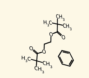 CC(C)(C)C(=O)OCCOC(=O)C(C)(C)C.c1ccccc1